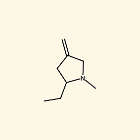 C=C1CC(CC)N(C)C1